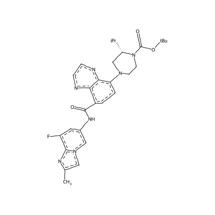 Cc1cn2cc(NC(=O)c3ccc(N4CCN(C(=O)OC(C)(C)C)[C@@H](C(C)C)C4)c4nccnc34)cc(F)c2n1